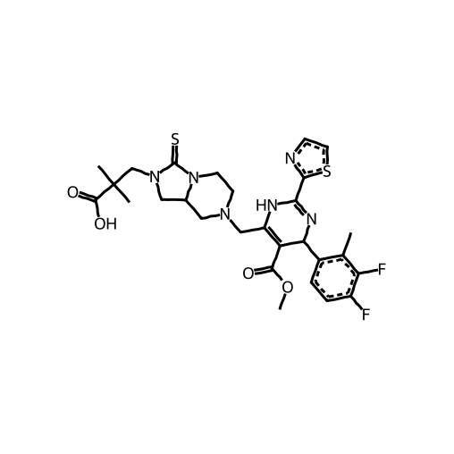 COC(=O)C1=C(CN2CCN3C(=S)N(CC(C)(C)C(=O)O)CC3C2)NC(c2nccs2)=NC1c1ccc(F)c(F)c1C